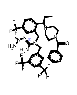 CCC(c1ccc(C(F)(F)F)cc1CN(Cc1cc(C(F)(F)F)cc(C(F)(F)F)c1)/C(N)=N/N(C)N)N1CCN(C(=O)c2ccccc2)CC1